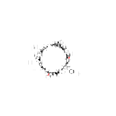 CC[C@H](C)[C@@H]1NC(=O)[C@H](C)N(C)C(=O)C[C@@H](C)N(C)C(=O)[C@H](C2CCCCC2)N(C)C(=O)C2(CCCC2)NC(=O)[C@@H]2CCCN2C(=O)[C@H](CCc2ccc(C(F)(F)F)c(Cl)c2)NC(=O)CN(C)C(=O)[C@H](CC2CCCCC2)N(C)C(=O)CN(C)C(=O)CN(C)C1=O